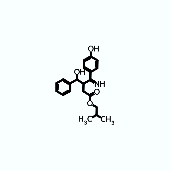 CC(C)COC(=O)CC(C(=N)c1ccc(O)cc1)C(O)c1ccccc1